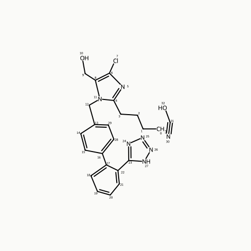 CCCCc1nc(Cl)c(CO)n1Cc1ccc(-c2ccccc2-c2nnn[nH]2)cc1.N#CO